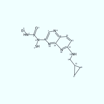 CCNC(=O)N(S)c1cnc2ccc(NCC3CC3)nc2n1